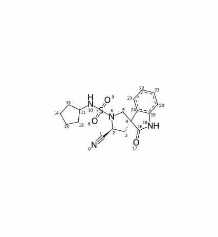 N#C[C@@H]1C[C@@]2(CN1S(=O)(=O)NC1CCCC1)C(=O)Nc1ccccc12